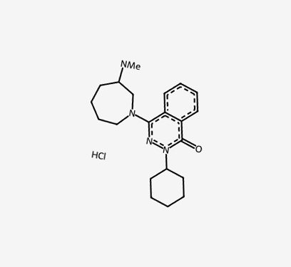 CNC1CCCCN(c2nn(C3CCCCC3)c(=O)c3ccccc23)C1.Cl